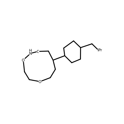 CC(C)CC1CCC(C2CCNOCCOCC2)CC1